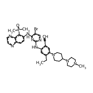 C#Cc1cc(N2CCC(N3CCN(C)CC3)CC2)c(CC)cc1Nc1ncc(Br)c(Nc2ccc3nccnc3c2P(C)(C)=O)n1